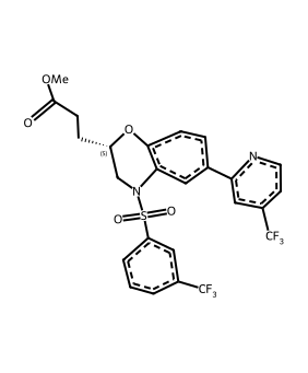 COC(=O)CC[C@H]1CN(S(=O)(=O)c2cccc(C(F)(F)F)c2)c2cc(-c3cc(C(F)(F)F)ccn3)ccc2O1